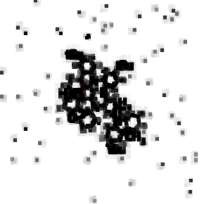 Cc1cc2c3c(c1)N(c1cccc4oc5ccccc5c14)c1cc(N4c5ccc(C(C)(C)C)cc5C5(C)CCCCC45C)ccc1B3c1ccc(C(C)(C)C)cc1N2c1ccc(C(C)(C)C)cc1-c1ccccc1